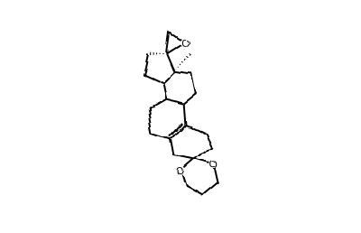 C[C@]12CCC3C4=C(CCC3C1CC[C@@]21CO1)CC1(CC4)OCCCO1